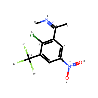 C/N=C(/C)c1cc([N+](=O)[O-])cc(C(F)(F)F)c1Cl